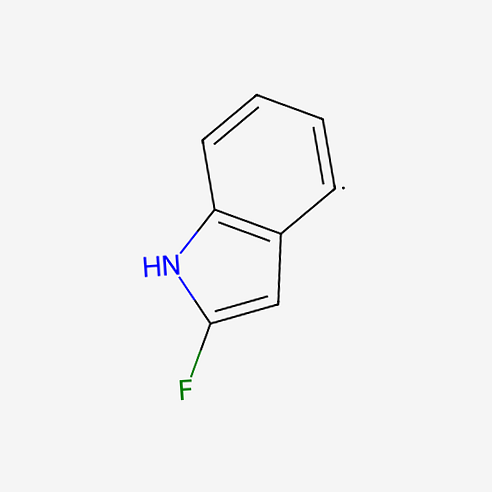 Fc1cc2[c]cccc2[nH]1